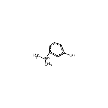 C[SiH](C)c1[c]ccc(C(C)(C)C)c1